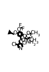 CC(=O)SC(C)(C)C(N)C(=O)O[C@@H](Cc1c(Cl)cncc1Cl)c1ccc(OC(F)F)c(OCC2CC2)c1